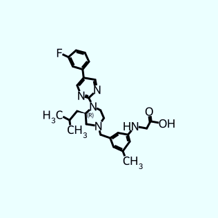 Cc1cc(CN2CCN(c3ncc(-c4cccc(F)c4)cn3)[C@H](CC(C)C)C2)cc(NCC(=O)O)c1